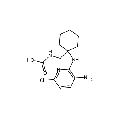 Nc1cnc(Cl)nc1NC1(CNC(=O)O)CCCCC1